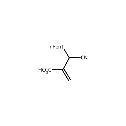 C=C(C(=O)O)C(C#N)CCCCC